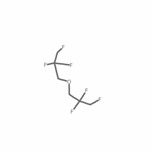 FCC(F)(F)COCC(F)(F)CF